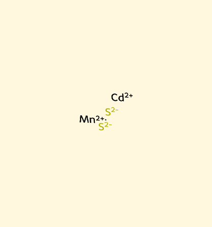 [Cd+2].[Mn+2].[S-2].[S-2]